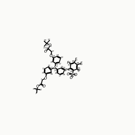 CC(C)(C)OC(=O)COc1cccc([S+](c2ccccc2)c2cccc(OCC(=O)OC(C)(C)C)c2)c1.O=S(=O)([O-])c1c(F)c(F)c(F)c(F)c1F